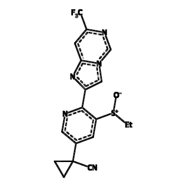 CC[S+]([O-])c1cc(C2(C#N)CC2)cnc1-c1cn2cnc(C(F)(F)F)cc2n1